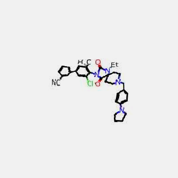 CCN1C(=O)N(c2c(C)cc(-c3cccc(C#N)c3)cc2Cl)C(=O)C12CCN(Cc1ccc(N3CCCC3)cc1)CC2